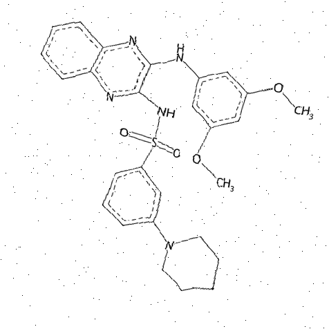 COc1cc(Nc2nc3ccccc3nc2NS(=O)(=O)c2cccc(N3CCCCC3)c2)cc(OC)c1